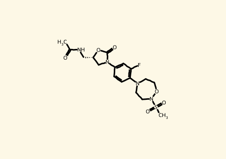 CC(=O)NC[C@H]1CN(c2ccc(N3CCON(S(C)(=O)=O)CC3)c(F)c2)C(=O)O1